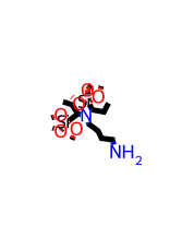 CCC(N(CCCCN)C(CC)[Si](OC)(OC)OC)[Si](OC)(OC)OC